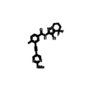 CCc1c(NC(=O)c2ccc(C)c(C#Cc3cnc(NC)nc3)c2)nn2c1C(F)(F)CCC2